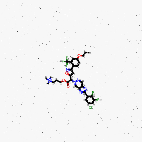 CCCOc1ccc(-c2cc(C(C(=O)OCCC[N+](C)(C)C)n3cc4nc(-c5cccc(F)c5F)nc-4cn3)on2)c(C(F)(F)F)c1.[Cl-]